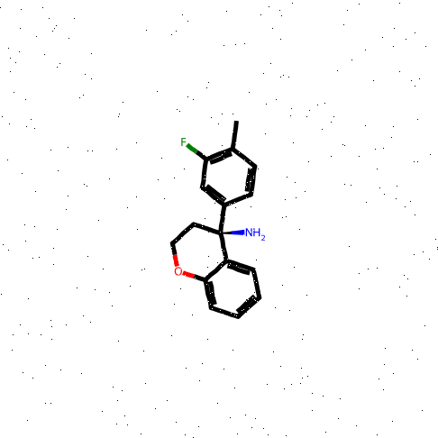 Cc1ccc([C@@]2(N)CCOc3ccccc32)cc1F